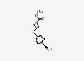 C#Cc1ccc(OC2CN(C(=O)OC(C)(C)C)C2)cn1